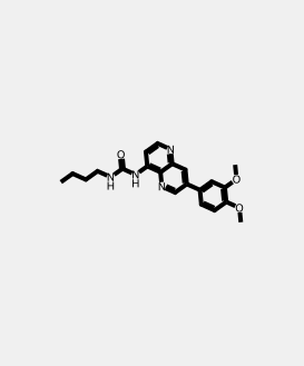 CCCCNC(=O)Nc1ccnc2cc(-c3ccc(OC)c(OC)c3)cnc12